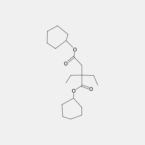 CCC(CC)(CC(=O)OC1CCCCC1)C(=O)OC1CCCCC1